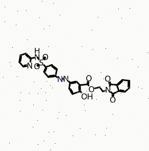 O=C(OCCN1C(=O)c2ccccc2C1=O)c1cc(/N=N/c2ccc(S(=O)(=O)Nc3ccccn3)cc2)ccc1O